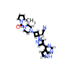 C[C@H]1CCCN1C(=O)N1CCN([C@H]2C[C@](CC#N)(n3cc(-c4ncnc5[nH]ccc45)cn3)C2)CC1